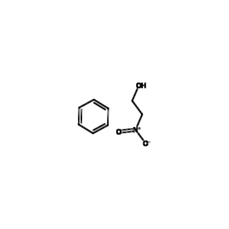 O=[N+]([O-])CCO.c1ccccc1